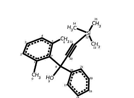 Cc1cccc(C)c1C(O)(C#C[Si](C)(C)C)c1ccccc1